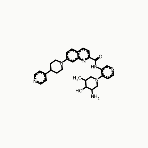 CC1CN(c2ccncc2NC(=O)c2ccc3ccc(N4CCC(c5ccncc5)CC4)cc3n2)CC(N)C1O